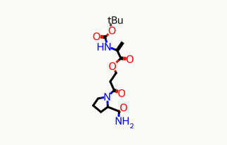 C=C(NC(=O)OC(C)(C)C)C(=O)OCCC(=O)N1CCCC1C(N)=O